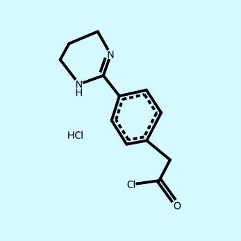 Cl.O=C(Cl)Cc1ccc(C2=NCCCN2)cc1